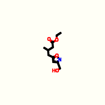 CCOC(=O)CC(C)Cc1cc(CO)no1